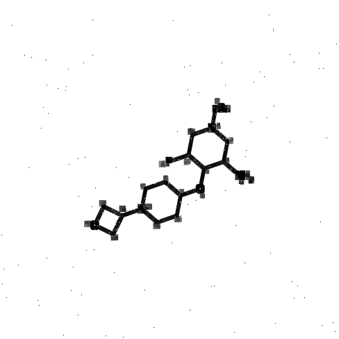 CCCCN1CC(N)C(OC2CCN(C3COC3)CC2)C(F)C1